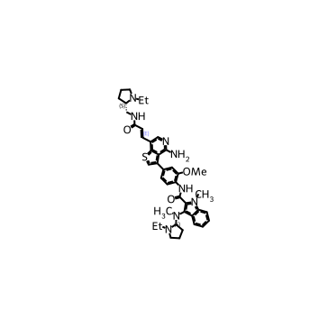 CCN1CCC[C@H]1CNC(=O)/C=C/c1cnc(N)c2c(-c3ccc(NC(=O)c4c(N(C)[C@H]5CCCN5CC)c5ccccc5n4C)c(OC)c3)csc12